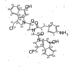 Nc1ccc(CCC(=O)N(CC(=O)N2CC(CCl)c3c2cc(O)c2ccccc32)CC(=O)N2CC(CCl)c3c2cc(O)c2ccccc32)cc1